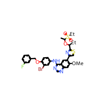 CCC(OC(C)S(=O)(=O)CC)c1nc(-c2cc3c(Nc4ccc(OCc5cccc(F)c5)c(Br)c4)ncnc3cc2OC)cs1